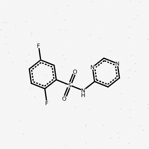 O=S(=O)(Nc1ccncn1)c1cc(F)ccc1F